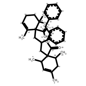 CC1=CC(C)C(CC(CC2(C(=O)O)C(C)=CCCC2(C)C)c2ccccc2)(C(=O)OCCc2ccccc2)C(C)C1